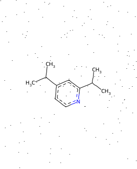 CC(C)c1[c]c(C(C)C)ncc1